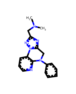 CN(C)Cc1nc2n(n1)-c1cccnc1N(c1ccccc1)C2